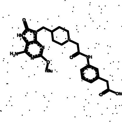 CCCCOc1nc(N)c2[nH]c(=O)n(CC3CCN(CC(=O)Nc4cccc(CC(=O)OC)c4)CC3)c2n1